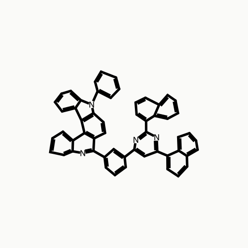 c1ccc(-n2c3ccccc3c3c4c(ccc32)c(-c2cccc(-c3cc(-c5cccc6ccccc56)nc(-c5cccc6ccccc56)n3)c2)nc2ccccc24)cc1